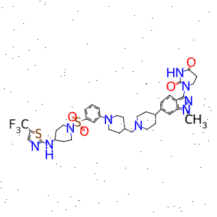 Cn1nc(N2CCC(=O)NC2=O)c2ccc(C3CCN(CC4CCN(c5cccc(S(=O)(=O)N6CCC(Nc7ncc(C(F)(F)F)s7)CC6)c5)CC4)CC3)cc21